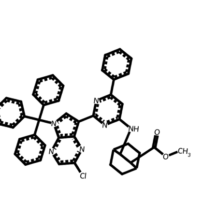 COC(=O)C1C2CCC(CC2)C1Nc1cc(-c2ccccc2)nc(-c2cn(C(c3ccccc3)(c3ccccc3)c3ccccc3)c3ncc(Cl)nc23)n1